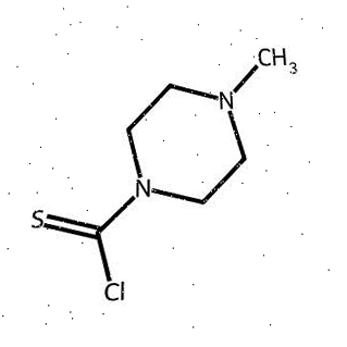 CN1CCN(C(=S)Cl)CC1